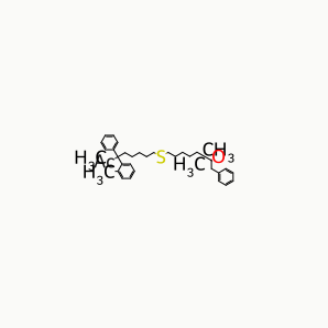 CC(=O)C(CCCCCSCCCCCC(C)(C)C(=O)Cc1ccccc1)(c1ccccc1C)c1ccccc1C